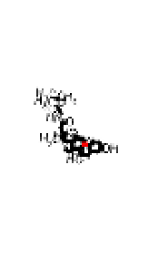 C[C@H](CCC(=O)NCC(=O)OC(C)(C)C)[C@H]1CC[C@H]2[C@@H]3[C@H](O)CC4C[C@H](O)CC[C@]4(C)[C@H]3C[C@H](O)[C@]12C